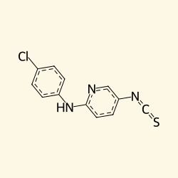 S=C=Nc1ccc(Nc2ccc(Cl)cc2)nc1